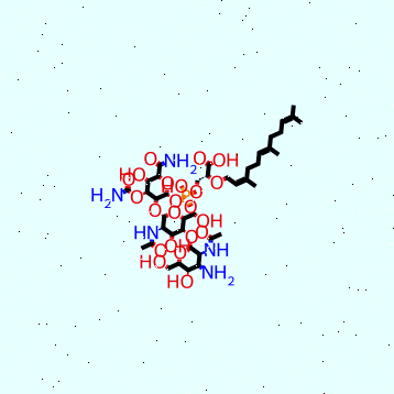 CC(=O)N[C@H]1C(N)[C@H](O)C(CO)O[C@H]1O[C@@H]1C(CO)O[C@@H](OC2[C@H](OP(=O)(O)OC[C@@H](OC/C=C(/C)CC/C=C(\C)CCC=C(C)C)C(=O)O)OC(C(N)=O)C(O)[C@@H]2OC(N)=O)[C@@H](NC(C)=O)C1O